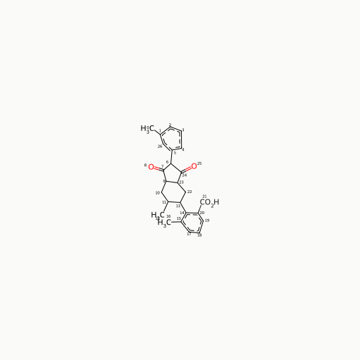 Cc1cccc(C2C(=O)C3CC(C)C(c4c(C)cccc4C(=O)O)CC3C2=O)c1